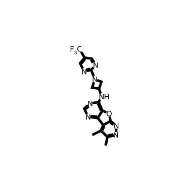 Cc1nnc2oc3c(NC4CN(c5ncc(C(F)(F)F)cn5)C4)ncnc3c2c1C